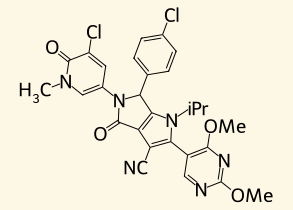 COc1ncc(-c2c(C#N)c3c(n2C(C)C)C(c2ccc(Cl)cc2)N(c2cc(Cl)c(=O)n(C)c2)C3=O)c(OC)n1